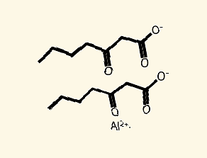 CCCCC(=O)CC(=O)[O-].CCCCC(=O)CC(=O)[O-].[Al+2]